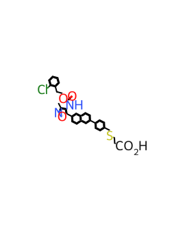 Cc1noc(-c2ccc3cc(-c4ccc(CSCCC(=O)O)cc4)ccc3c2)c1NC(=O)OCCc1ccccc1Cl